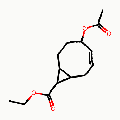 CCOC(=O)C1C2C/C=C\C(OC(C)=O)CCC21